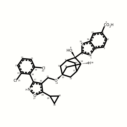 O=C(O)c1ccc2nc([C@@]3(O)C4CC5C[C@](OCc6c(-c7c(Cl)cccc7Cl)noc6C6CC6)(C4)C[C@H]53)sc2c1